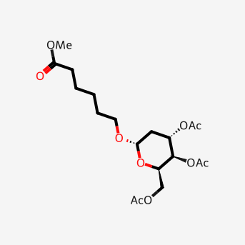 COC(=O)CCCCCO[C@@H]1C[C@H](OC(C)=O)[C@@H](OC(C)=O)[C@@H](COC(C)=O)O1